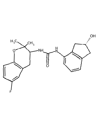 CC1(C)Oc2ccc(F)cc2CC1NC(=O)Nc1cccc2c1C[C@H](O)C2